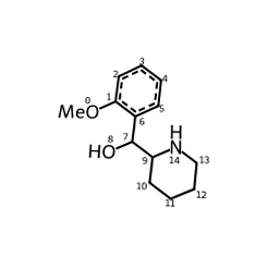 COc1ccccc1C(O)C1CCCCN1